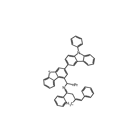 CCCC(/N=C(\C/C(C)=C\c1ccccc1)c1ccccc1)c1cc(-c2ccc3c(c2)c2ccccc2n3-c2ccccc2)cc2sc3ccccc3c12